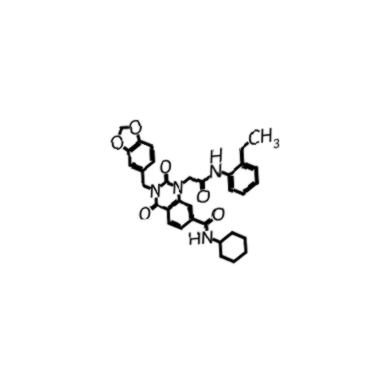 CCc1ccccc1NC(=O)Cn1c(=O)n(Cc2ccc3c(c2)OCO3)c(=O)c2ccc(C(=O)NC3CCCCC3)cc21